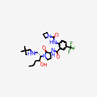 CCC[C@H](O)[C@H](CNCC(C)(C)C)N1CC[C@H](NC(=O)c2cc(C(F)(F)F)ccc2NC(=O)N2CCC2)C1=O